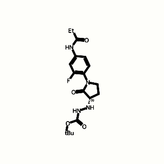 CCC(=O)Nc1ccc(N2CC[C@H](NNC(=O)OC(C)(C)C)C2=O)c(F)c1